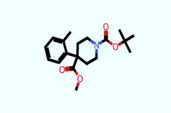 COC(=O)C1(c2ccccc2C)CCN(C(=O)OC(C)(C)C)CC1